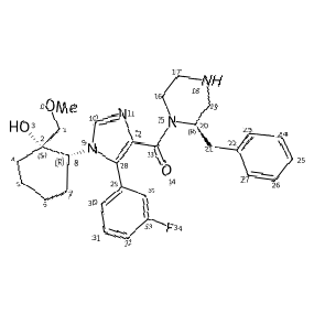 COC[C@]1(O)CCCC[C@H]1n1cnc(C(=O)N2CCNC[C@H]2Cc2ccccc2)c1-c1cccc(F)c1